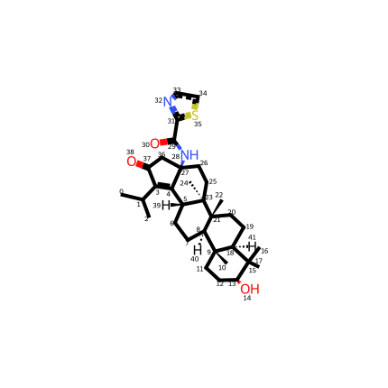 CC(C)C1=C2[C@H]3CC[C@@H]4[C@@]5(C)CC[C@H](O)C(C)(C)[C@@H]5CC[C@@]4(C)[C@]3(C)CC[C@@]2(NC(=O)c2nccs2)CC1=O